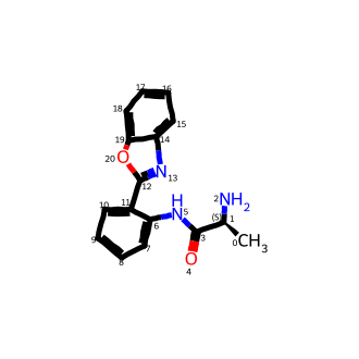 C[C@H](N)C(=O)Nc1ccccc1-c1nc2ccccc2o1